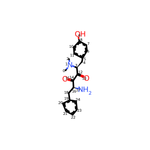 CN(C)[C@@H](Cc1ccc(O)cc1)C(=O)C(=O)[C@@H](N)Cc1ccccc1